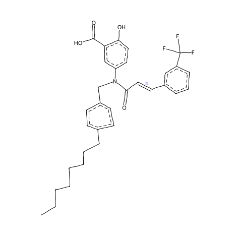 CCCCCCCCc1ccc(CN(C(=O)/C=C/c2cccc(C(F)(F)F)c2)c2ccc(O)c(C(=O)O)c2)cc1